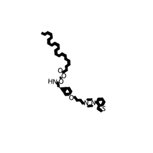 CC/C=C\C/C=C\C/C=C\C/C=C\C/C=C\C/C=C\CCC(=O)OCOC(=N)C[C@@H]1c2ccc(OCCCCN3CCN(c4cccc5sccc45)CC3)cc21